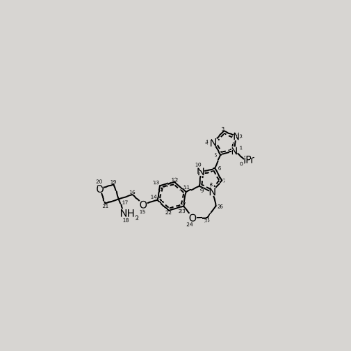 CC(C)n1ncnc1-c1cn2c(n1)-c1ccc(OCC3(N)COC3)cc1OCC2